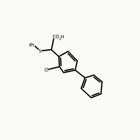 CC(C)SC(C(=O)O)c1ccc(-c2ccccc2)cc1Cl